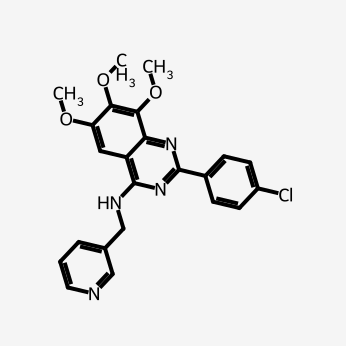 COc1cc2c(NCc3cccnc3)nc(-c3ccc(Cl)cc3)nc2c(OC)c1OC